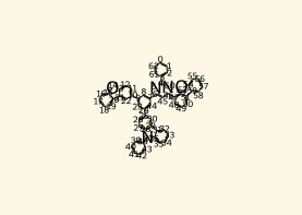 c1ccc(-c2nc(-c3cc(-c4ccc5oc6ccccc6c5c4)cc(-c4ccc5c(c4)c4ccccc4n5-c4ccccc4)c3)cc(-c3cccc4c3oc3ccccc34)n2)cc1